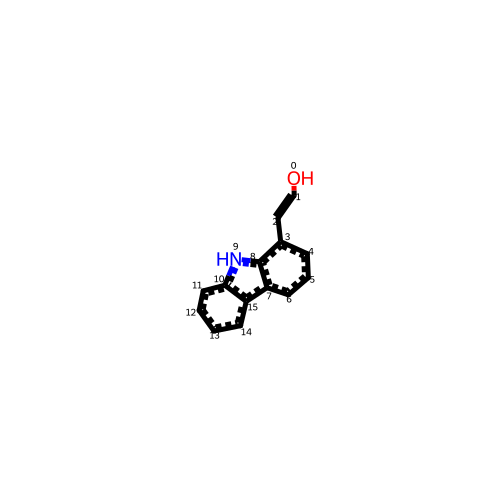 OC=Cc1cccc2c1[nH]c1ccccc12